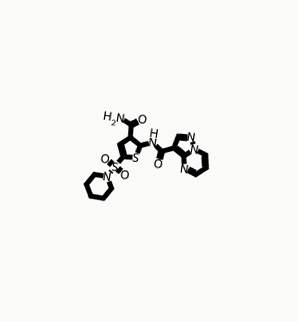 NC(=O)C1C=C(S(=O)(=O)N2CCCCC2)SC1NC(=O)c1cnn2cccnc12